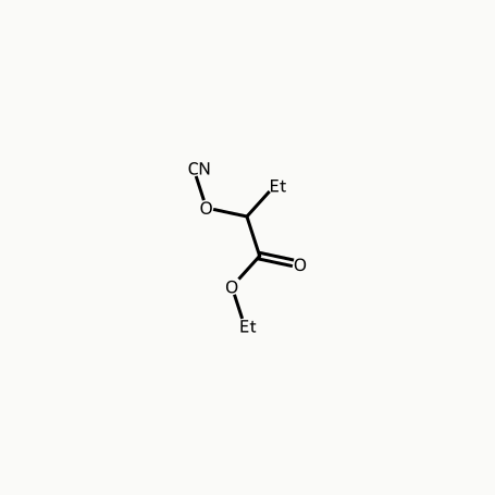 CCOC(=O)C(CC)OC#N